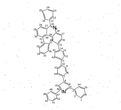 c1ccc(-c2cc(-c3ccc(-c4ccc(-c5ccc6nc(-c7ccccc7)c7cccc(-c8ccccc8)c7c6c5)cc4)cc3)cc(-c3ccccc3)n2)cc1